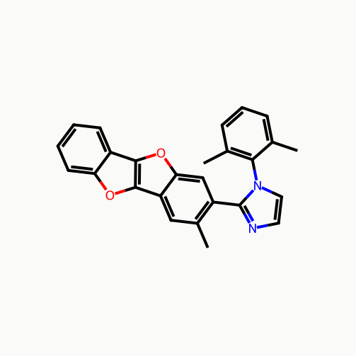 Cc1cc2c(cc1-c1nccn1-c1c(C)cccc1C)oc1c3ccccc3oc21